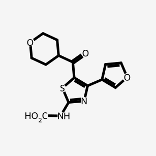 O=C(O)Nc1nc(-c2ccoc2)c(C(=O)C2CCOCC2)s1